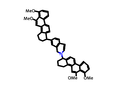 COc1cccc2c1c(OC)cc1c3c(ccc12)C(c1ccc2c(c1)CN(C1CCCc4c1ccc1c4cc(OC)c4c(OC)cccc41)C=C2)CCC3